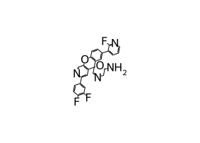 NC1CN=C[C@]2(O1)c1cc(-c3cccnc3F)ccc1Oc1cnc(-c3ccc(F)c(F)c3)cc12